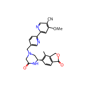 COc1cc(-c2ccc(CN3CC(=O)N[C@H](c4ccc5c(c4C)COC5=O)C3)cn2)ncc1C#N